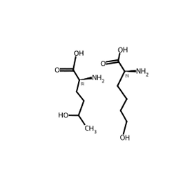 CC(O)CC[C@H](N)C(=O)O.N[C@@H](CCCCO)C(=O)O